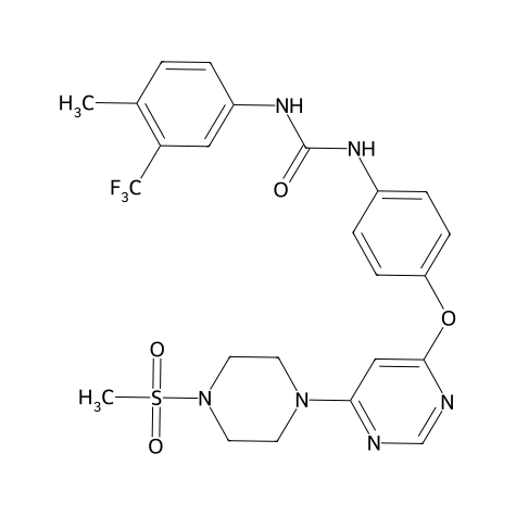 Cc1ccc(NC(=O)Nc2ccc(Oc3cc(N4CCN(S(C)(=O)=O)CC4)ncn3)cc2)cc1C(F)(F)F